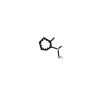 BN(C)c1ccccc1C